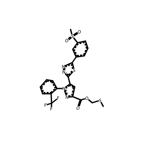 CSCOC(=O)c1cc(-c2nnc(-c3cccc(S(C)(=O)=O)c3)s2)n(-c2ccccc2C(F)(F)F)n1